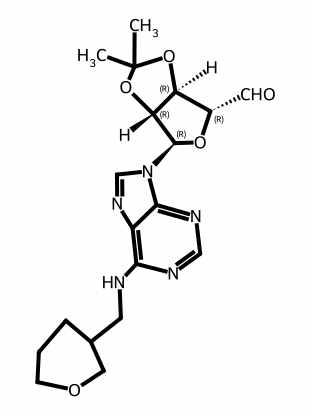 CC1(C)O[C@@H]2[C@@H](O1)[C@H](n1cnc3c(NCC4CCCOC4)ncnc31)O[C@H]2C=O